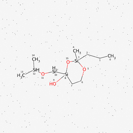 CCC[Si]1(C)OCC[Si](O)([SiH2]O[SiH](C)C)O1